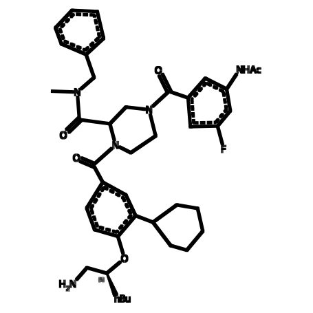 CCCC[C@@H](CN)Oc1ccc(C(=O)N2CCN(C(=O)c3cc(F)cc(NC(C)=O)c3)CC2C(=O)N(C)Cc2ccccc2)cc1C1CCCCC1